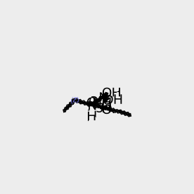 CCCCCCCC/C=C\CCCCCCCC(=O)NC(CCSCCC(=O)OCCCCCCCCCCCCC)C(=O)NCCCN(CCO)CCO